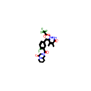 Cc1c(C)c(=O)[nH][n+](OC(=O)C(F)(F)F)c1Cc1ccc(F)c(C(=O)N2CC(=O)N3CCCCC3C2)c1